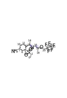 CCS(=O)(=O)c1cc(C#N)ccc1/C(C)=N/C=C(\C)OCC(F)(F)C(F)(F)F